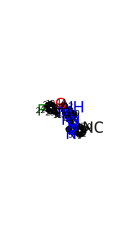 [C-]#[N+]c1ccc2ncn(-c3ncc4[nH]c(=O)n(Cc5cccc(F)c5)c4n3)c2c1